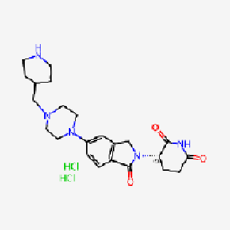 Cl.Cl.O=C1CC[C@H](N2Cc3cc(N4CCN(CC5CCNCC5)CC4)ccc3C2=O)C(=O)N1